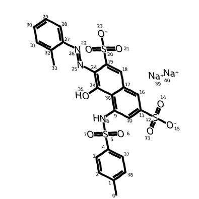 Cc1ccc(S(=O)(=O)Nc2cc(S(=O)(=O)[O-])cc3cc(S(=O)(=O)[O-])c(N=Nc4ccccc4C)c(O)c23)cc1.[Na+].[Na+]